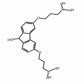 CCCN(CCC)CCCOc1ccc2c(c1)-c1cc(OCCCN(CCC)CCC)ccc1C2O